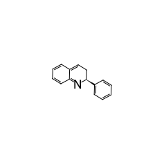 C1=c2ccccc2=N[C@H](c2ccccc2)C1